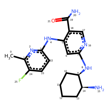 Cc1nc(Nc2cc(N[C@@H]3CCCC[C@@H]3N)ncc2C(N)=O)ccc1F